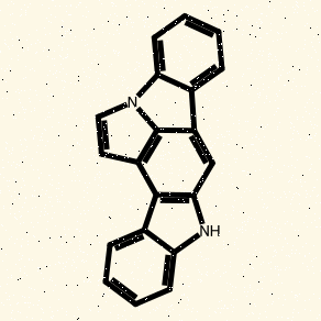 c1ccc2c(c1)[nH]c1cc3c4ccccc4n4ccc(c12)c34